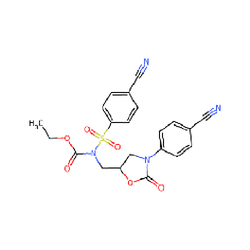 CCOC(=O)N(CC1CN(c2ccc(C#N)cc2)C(=O)O1)S(=O)(=O)c1ccc(C#N)cc1